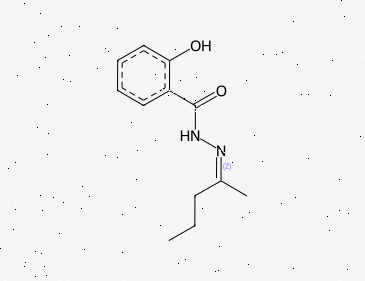 CCC/C(C)=N\NC(=O)c1ccccc1O